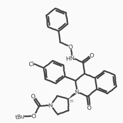 CC(C)(C)OC(=O)N1CC[C@H](N2C(=O)c3ccccc3C(C(=O)NOCc3ccccc3)C2c2ccc(Cl)cc2)C1